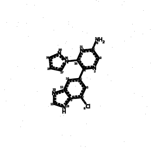 Nc1cnc(-c2cc(Cl)c3[nH]cnc3c2)c(-n2cccn2)n1